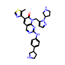 Cc1scnc1-c1cc2cnc(Nc3ccc(C4CCNC4)cc3)nc2n(Cc2ccnn2C2CCNC2)c1=O